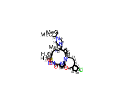 COCC(COC)N1CCN(C[C@]2(OC)/C=C/C[C@H](C)[C@@H](C)S(=O)(=O)NC(=O)c3ccc4c(n3)N(CCCCc3cc(Cl)ccc3CO4)C[C@@H]3CCC32)CC1